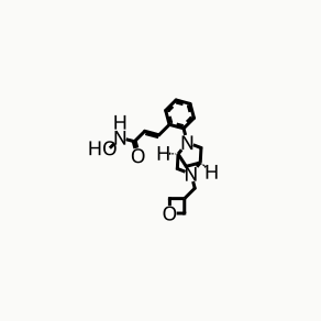 O=C(/C=C/c1ccccc1N1C[C@@H]2C[C@H]1CN2CC1COC1)NO